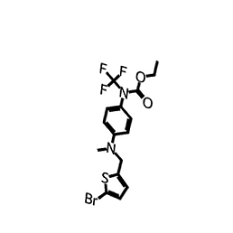 CCOC(=O)N(c1ccc(N(C)Cc2ccc(Br)s2)cc1)C(F)(F)F